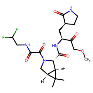 CC1(C)[C@@H]2[C@@H](C(=O)N[C@@H](C[C@@H]3CCNC3=O)C(=O)COC(F)(F)F)N(C(=O)C(=O)NCC(F)F)C[C@@H]21